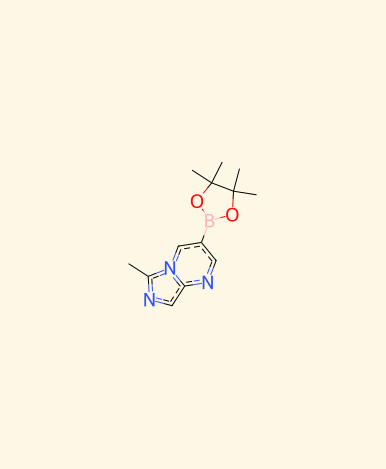 Cc1ncc2ncc(B3OC(C)(C)C(C)(C)O3)cn12